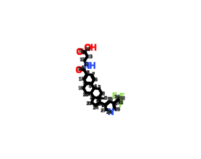 C[C@]12CCC3c4ccc(C(=O)NCCC(=O)O)cc4CCC3C1CC=C2c1cncc(C(F)(F)F)c1